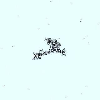 CCC(=O)CCC(NC(=O)COCCOCCNC(=O)OC(C)(C)C)C(=O)NC(CCC(=O)O)C(=O)O